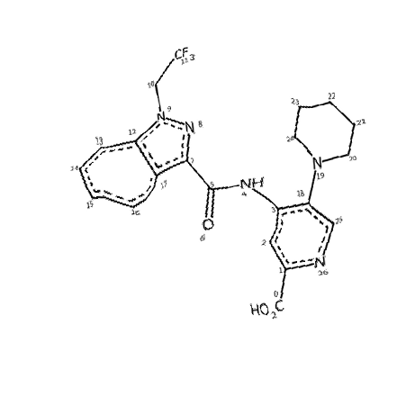 O=C(O)c1cc(NC(=O)c2nn(CC(F)(F)F)c3ccccc23)c(N2CCCCC2)cn1